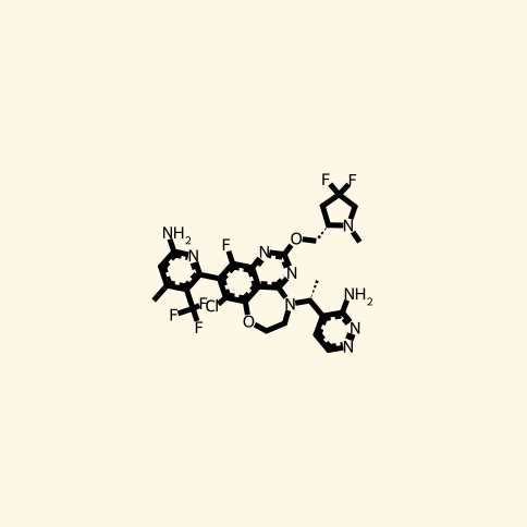 Cc1cc(N)nc(-c2c(Cl)c3c4c(nc(OC[C@@H]5CC(F)(F)CN5C)nc4c2F)N([C@H](C)c2ccnnc2N)CCO3)c1C(F)(F)F